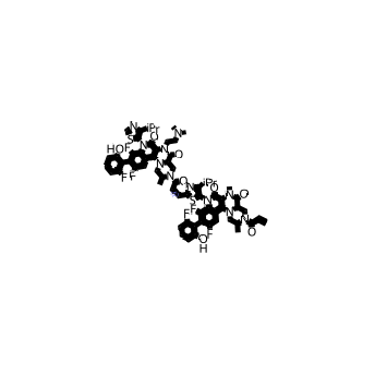 C=CC(=O)N1CC2C(=O)N(C)c3c(c4cc(F)c(-c5c(O)cccc5F)c(F)c4n(-c4sc(/C=C\C(=O)N5CC6C(=O)N(CCN(C)C)c7c(c8cc(F)c(-c9c(O)cccc9F)c(F)c8n(-c8scnc8C(C)C)c7=O)N6CC5C)nc4C(C)C)c3=O)N2CC1C